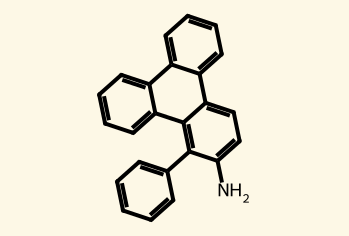 Nc1ccc2c3ccccc3c3ccccc3c2c1-c1ccccc1